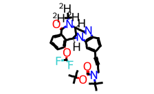 [2H]C([2H])([2H])N1C(=O)c2cccc(OC(F)F)c2[C@H]2C[C@@H]1c1nc3ccc(C#CCN(C(=O)OC(C)(C)C)C(C)(C)C)cc3n12